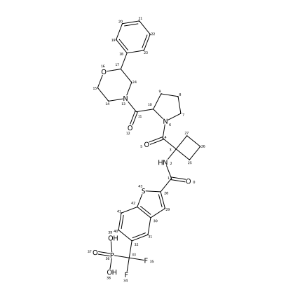 O=C(NC1(C(=O)N2CCCC2C(=O)N2CCOC(c3ccccc3)C2)CCC1)c1cc2cc(C(F)(F)P(=O)(O)O)ccc2s1